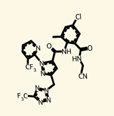 Cc1cc(Cl)cc(C(=O)NCC#N)c1NC(=O)c1cc(Cn2nnc(C(F)(F)F)n2)nn1-c1ncccc1C(F)(F)F